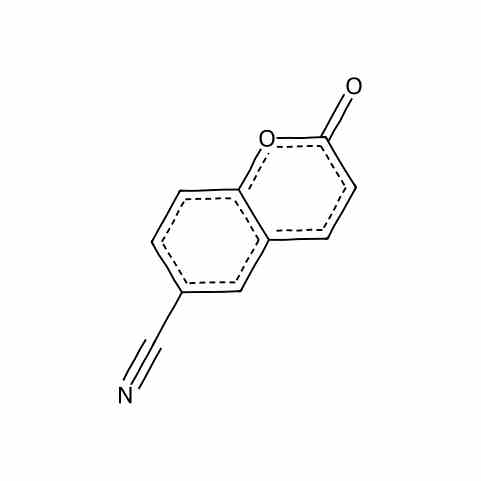 N#Cc1ccc2oc(=O)ccc2c1